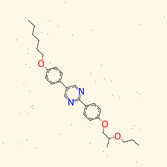 CCCCCCOc1ccc(-c2cnc(-c3ccc(OCC(C)OCCC)cc3)nc2)cc1